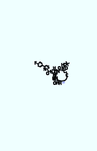 CC(C)(C)OC(=O)N[C@@H]1CCCCC/C=C\[C@H]2C[C@@]2(C(=O)O)NC(=O)[C@@H]2[C@H]3CN(C(=O)c4nc(-c5ccc(F)cc5)cs4)C[C@H]3CN2C1=O